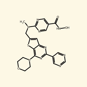 CN(Cc1cc2nc(-c3cncnc3)nc(N3CCOCC3)c2s1)c1ncc(C(=O)NO)cn1